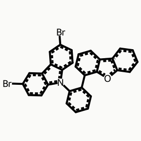 Brc1ccc2c(c1)c1cc(Br)ccc1n2-c1ccccc1-c1cccc2c1oc1ccccc12